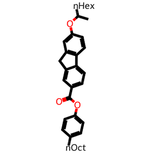 CCCCCCCCc1ccc(OC(=O)c2ccc3c(c2)Cc2cc(OC(C)CCCCCC)ccc2-3)cc1